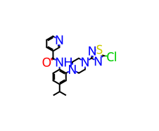 CC(C)c1ccc(NC(=O)c2cccnc2)c(N2CCN(c3nsc(Cl)n3)CC2)c1